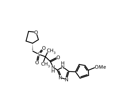 COc1ccc(-c2nnc(NC(=O)C(C)(C)S(=O)(=O)C[C@@H]3CCOC3)[nH]2)cc1